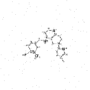 Cc1ccc(N2CCc3ncnc(NCc4ccc(F)c(C(F)(F)F)c4)c3C2)nc1